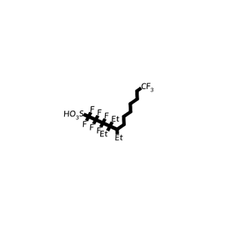 CCC(CCCCCCC(F)(F)F)C(CC)(CC)C(F)(F)C(F)(F)C(F)(F)S(=O)(=O)O